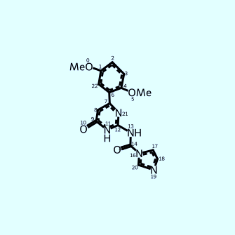 COc1ccc(OC)c(-c2cc(=O)[nH]c(NC(=O)n3ccnc3)n2)c1